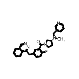 CN(Cc1cccnc1)[C@@H]1CCN(C(=O)c2cc(Cc3nncc4ccccc34)ccc2F)C1